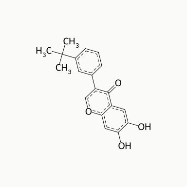 CC(C)(C)c1cccc(-c2coc3cc(O)c(O)cc3c2=O)c1